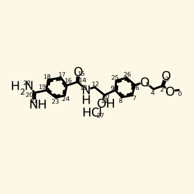 COC(=O)COc1ccc(C(O)CNC(=O)c2ccc(C(=N)N)cc2)cc1.Cl